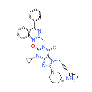 CC#CCn1c(N2CCC[C@@H](N)C2)nc2c1c(=O)n(Cc1nc(-c3ccccc3)c3ccccc3n1)c(=O)n2C1CC1